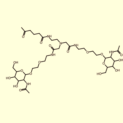 CC(=O)CCCC(=O)NCCN(CC(=O)NCCOCCOC1OC(CO)C(O)C(O)C1NC(C)=O)CC(=O)NCCOCCOC1OC(CO)C(O)C(O)C1NC(C)=O